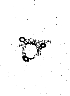 CN1C(=O)[C@H](C2CCCCC2)NCCOc2ccccc2CCCNC(=O)[C@@H](Cc2ccc(O)cc2)NC(=O)[C@@H]1CO